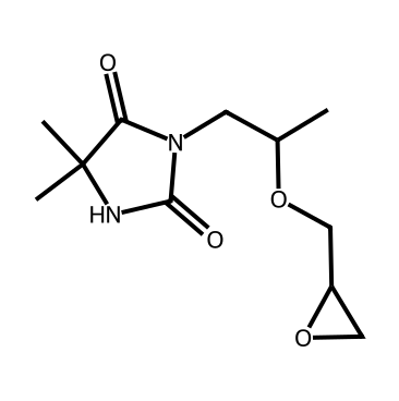 CC(CN1C(=O)NC(C)(C)C1=O)OCC1CO1